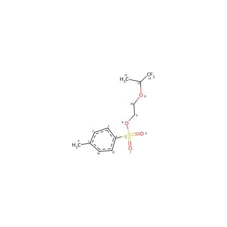 Cc1ccc(S(=O)(=O)OCCOC(C)C(F)(F)F)cc1